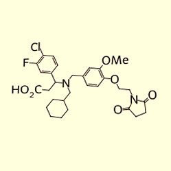 COc1cc(CN(CC2CCCCC2)C(CC(=O)O)c2ccc(Cl)c(F)c2)ccc1OCCN1C(=O)CCC1=O